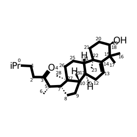 CC(C)CCC(=O)[C@@H](C)[C@H]1CC[C@H]2[C@@H]3CC=C4C(C)(C)[C@H](O)CC[C@]4(C)[C@H]3CC[C@]12C